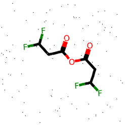 O=C(CC(F)F)OC(=O)CC(F)F